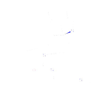 C=NCC(C)(C)CN1C[C@]2(CC[C@](c3ccccc3)(N(C)C)CC2)N(CC2CCC2)C1=O